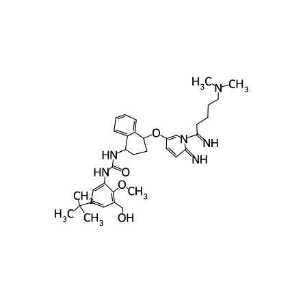 COc1c(CO)cc(C(C)(C)C)cc1NC(=O)NC1CCC(Oc2ccc(=N)n(C(=N)CCCCN(C)C)c2)c2ccccc21